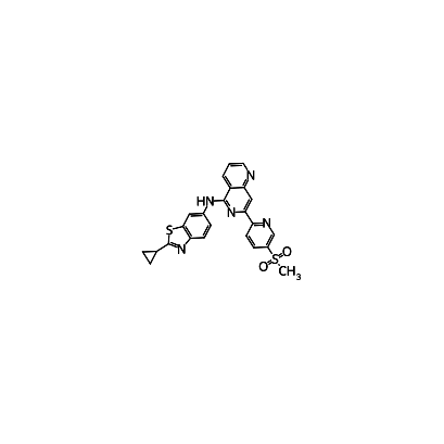 CS(=O)(=O)c1ccc(-c2cc3ncccc3c(Nc3ccc4nc(C5CC5)sc4c3)n2)nc1